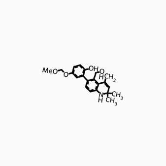 COCOc1ccc(O)c(-c2ccc3c(c2CO)C(C)=CC(C)(C)N3)c1